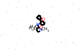 CN1CCCC(C)(C)C12C=Nc1c(ccc3oc4ccccc4c13)O2